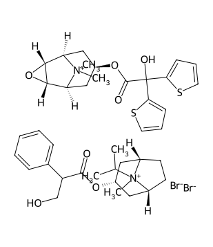 CC(C)[N+]1(C)[C@@H]2CC[C@H]1C[C@@H](OC(=O)C(CO)c1ccccc1)C2.C[N+]1(C)[C@@H]2C[C@@H](OC(=O)C(O)(c3cccs3)c3cccs3)C[C@H]1[C@@H]1O[C@@H]12.[Br-].[Br-]